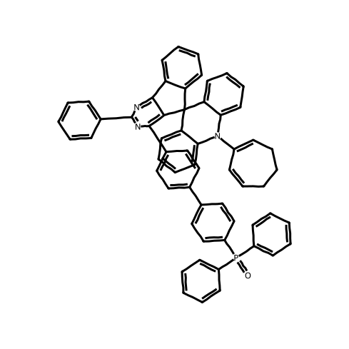 O=P(c1ccccc1)(c1ccccc1)c1ccc(-c2ccc(-c3nc(-c4ccccc4)nc4c3C3(c5ccccc5-4)c4ccccc4N(C4=CCCCC=C4)c4ccccc43)cc2)cc1